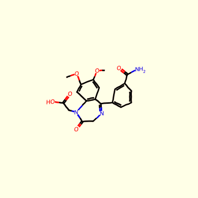 COc1cc2c(cc1OC)N(CC(=O)O)C(=O)CN=C2c1cccc(C(N)=O)c1